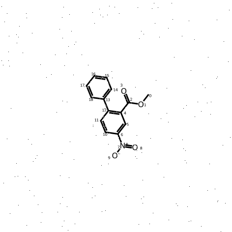 COC(=O)c1cc([N+](=O)[O-])ccc1-c1ccccc1